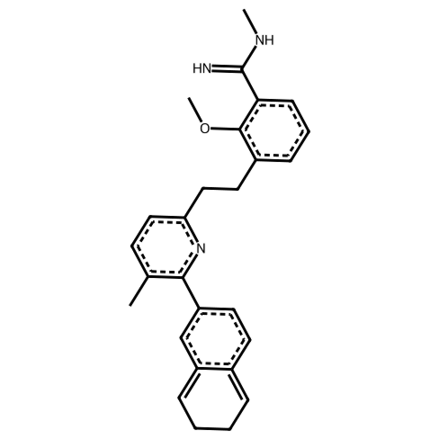 CNC(=N)c1cccc(CCc2ccc(C)c(-c3ccc4c(c3)=CCCC=4)n2)c1OC